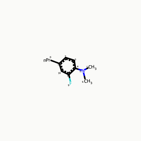 CCCc1ccc(N(C)C)c(F)c1